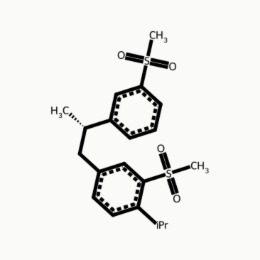 CC(C)c1ccc(C[C@H](C)c2cccc(S(C)(=O)=O)c2)cc1S(C)(=O)=O